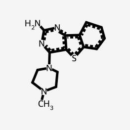 CN1CCN(c2nc(N)nc3c2sc2ccccc23)CC1